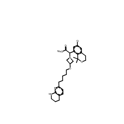 COC(=O)C(c1cc(Cl)cc2c1C(C)(C)OCC2)N1CC(OCCCCCc2ccc3c(n2)NCCC3)C1